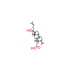 C=C(C)[C@@H]1CC[C@]2(C)[C@H](CC[C@@H]3[C@@H]([C@@](C)(O)CCC=C(C)C)CC[C@]32C)[C@@]1(C)CCC(=O)O